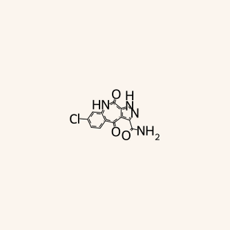 NC(=O)c1n[nH]c2c(=O)[nH]c3cc(Cl)ccc3c(=O)c12